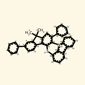 CC1(C)c2cc(-c3ccccc3)ccc2-c2c1cc(-c1ccccc1)c1c2Sc2cccc3c4ccccc4n-1c23